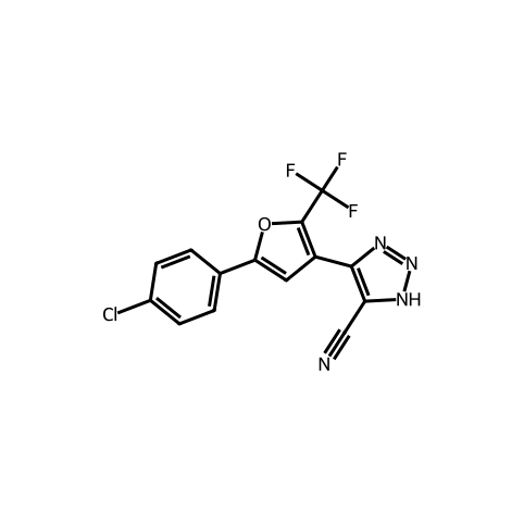 N#Cc1[nH]nnc1-c1cc(-c2ccc(Cl)cc2)oc1C(F)(F)F